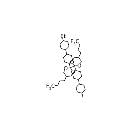 CCC1CCC(C2CCC(C3(C4(C5CCC(C6CCC(C)CC6)CC5)OCC(CCCC(F)(F)F)CO4)OCC(CCCC(F)(F)F)CO3)CC2)CC1